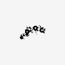 Cc1ccc(Oc2ccc(N3C=Nc4ccc(NC5=NC(C)(C)CO5)cc4C3N)cc2C)cn1